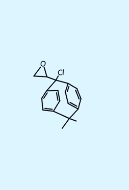 CC1(C)c2ccc(cc2)C(Cl)(C2CO2)c2ccc1cc2